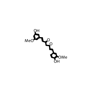 COc1cc(O)cc(C=CC(=O)CC(=O)C=Cc2ccc(O)c(OC)c2)c1